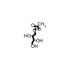 CS(=O)(=O)OC[C@@H](O)[C@H](O)CO